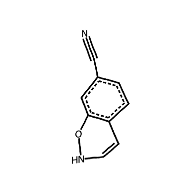 N#Cc1ccc2c(c1)ONC=C2